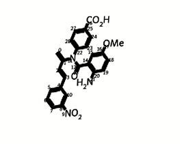 C=C(/C=C/c1cccc([N+](=O)[O-])c1)N(C(=O)c1cc(OC)ccc1N)c1ccc(C(=O)O)cc1